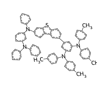 Cc1ccc(N(c2ccc(C)cc2)c2cc(-c3ccc4sc5cc(N(c6ccccc6)c6cccc(N(c7ccccc7)c7ccccc7)c6)ccc5c4c3)cc(N(c3ccc(C)cc3)c3ccc(C)cc3)c2)cc1